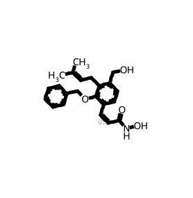 CC(C)=CCc1c(CO)ccc(/C=C\C(=O)NO)c1OCc1ccccc1